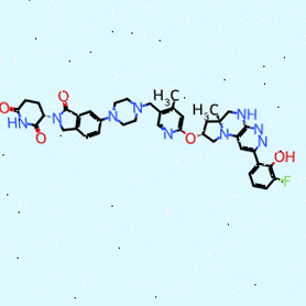 Cc1cc(O[C@H]2CN3c4cc(-c5cccc(F)c5O)nnc4NC[C@@]3(C)C2)ncc1CN1CCN(c2ccc3c(c2)C(=O)N([C@H]2CCC(=O)NC2=O)C3)CC1